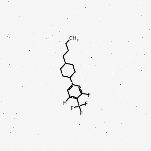 CCCCC1CCC(c2cc(F)c(C(F)(F)F)c(F)c2)CC1